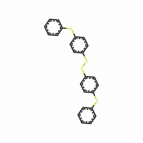 c1ccc(Sc2ccc(SSc3ccc(Sc4ccccc4)cc3)cc2)cc1